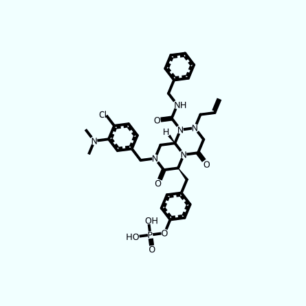 C=CCN1CC(=O)N2[C@@H](Cc3ccc(OP(=O)(O)O)cc3)C(=O)N(Cc3ccc(Cl)c(N(C)C)c3)C[C@@H]2N1C(=O)NCc1ccccc1